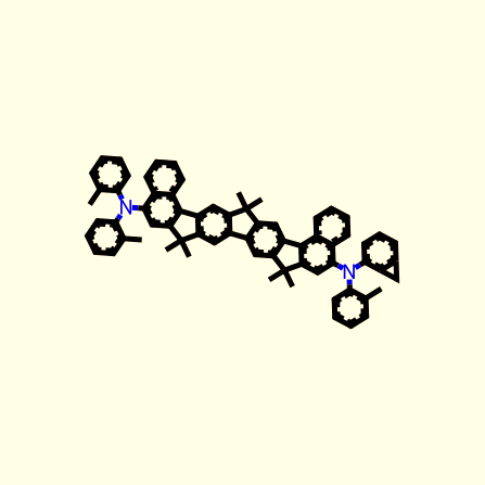 Cc1ccccc1N(c1ccccc1C)c1cc2c(c3ccccc13)-c1cc3c(cc1C2(C)C)-c1cc2c(cc1C3(C)C)-c1c(cc(N(c3ccccc3C)c3cccc4c3C4)c3ccccc13)C2(C)C